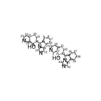 O[C@@H]1c2cnc(-c3cccc4c3-c3cncn3[C@H]4[C@@H]3CCc4ccncc4[C@@H]3O)cc2CC[C@H]1[C@H]1c2ccccc2-c2cncn21